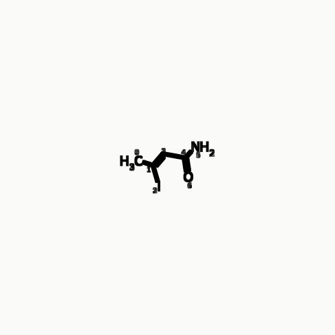 C/C(I)=C/C(N)=O